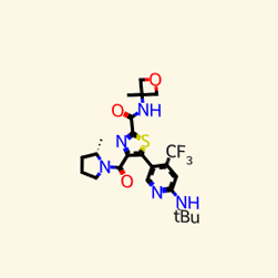 C[C@H]1CCCN1C(=O)c1nc(C(=O)NC2(C)COC2)sc1-c1cnc(NC(C)(C)C)cc1C(F)(F)F